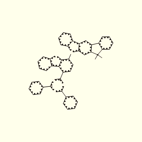 CC1(C)c2ccccc2-c2cc3c4ccccc4n(-c4ccc(-c5nc(-c6ccccc6)nc(-c6ccccc6)n5)c5c4sc4ccccc45)c3cc21